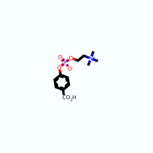 C[N+](C)(C)CCOP(=O)([O-])Oc1ccc(C(=O)O)cc1